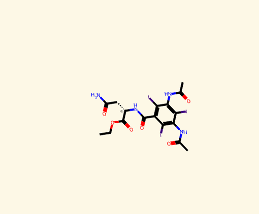 CCOC(=O)[C@H](CC(N)=O)NC(=O)c1c(I)c(NC(C)=O)c(I)c(NC(C)=O)c1I